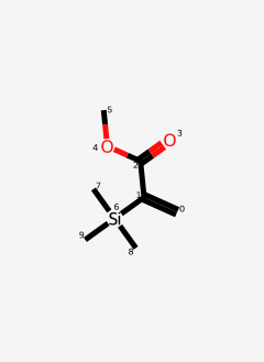 C=C(C(=O)OC)[Si](C)(C)C